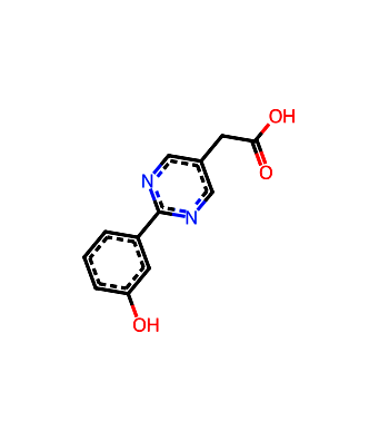 O=C(O)Cc1cnc(-c2cccc(O)c2)nc1